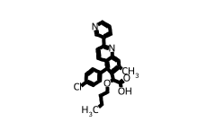 CCCCOC(C(=O)O)c1c(C)cc2nc(-c3cccnc3)ccc2c1-c1ccc(Cl)cc1